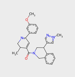 COc1cccc(C2=NCC(C)C(C(=O)N3Cc4ccccc4C(c4cnn(C)c4)C3)=C2)c1